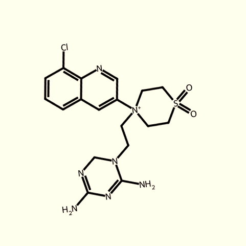 NC1=NCN(CC[N+]2(c3cnc4c(Cl)cccc4c3)CCS(=O)(=O)CC2)C(N)=N1